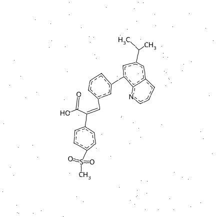 CC(C)c1cc(-c2cccc(C=C(C(=O)O)c3ccc(S(C)(=O)=O)cc3)c2)c2ncccc2c1